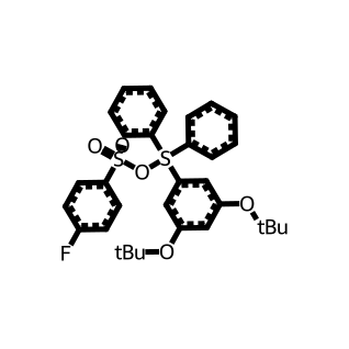 CC(C)(C)Oc1cc(OC(C)(C)C)cc(S(OS(=O)(=O)c2ccc(F)cc2)(c2ccccc2)c2ccccc2)c1